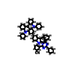 N#Cc1ccc(-n2c3ccccc3c3cc(-c4cc5c6c(c4)N(c4ccccc4)c4ccccc4B6c4ccccc4N5c4ccccc4)ccc32)c(-c2nc(-c3ccccc3)nc(-c3ccccc3)n2)c1